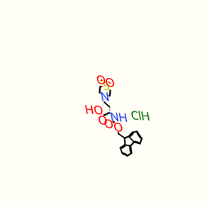 Cl.O=C(N[C@@H](CCN1CCS(=O)(=O)CC1)C(=O)O)OCC1c2ccccc2-c2ccccc21